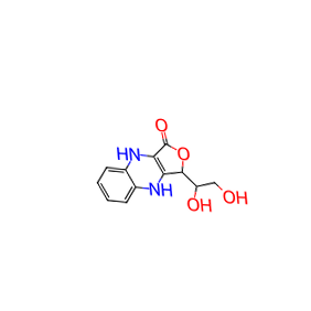 O=C1OC(C(O)CO)C2=C1Nc1ccccc1N2